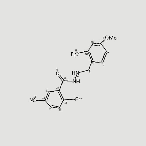 COc1ccc(CNNC(=O)c2cc(C#N)ccc2F)c(C(F)(F)F)c1